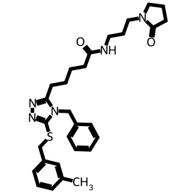 Cc1cccc(CSc2nnc(CCCCC(=O)NCCCN3CCCC3=O)n2Cc2ccccc2)c1